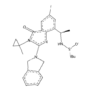 Cc1cc([C@@H](C)N[S@+]([O-])C(C)(C)C)c2nc(N3Cc4ccccc4C3)n(C3(C)CC3)c(=O)c2c1